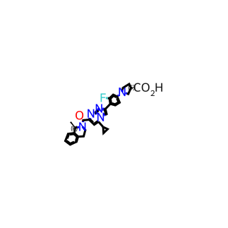 C[C@@H]1c2ccccc2CCN1C(=O)c1cc(C2CC2)n2cc(-c3ccc(N4CC[C@H](C(=O)O)C4)cc3F)nc2n1